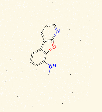 CNc1cccc2c1oc1ncccc12